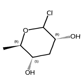 C[C@H]1OC(Cl)[C@H](O)C[C@@H]1O